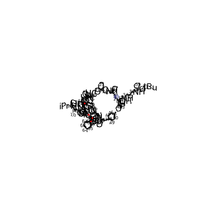 CC[C@H](C)[C@H]1NC(=O)[C@@H](NC(=O)[C@H](C)[C@H](O)C(C)C)[C@@H](C)OC(=O)[C@@H]2COC(=O)CNC(=O)/C=C/[C@](O)(CNCCCNC(=O)OC(C)(C)C)[C@@H](C)Oc3ccc(cc3)C(NC1=O)C(=O)N(C)[C@@H](Cc1ccccc1)C(=O)N[C@H]([C@@H](C)O)C(=O)N2